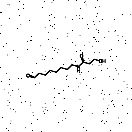 O=CCCCCCCCNC(=O)CCO